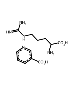 N=C(N)NCCCC(N)C(=O)O.O=C(O)c1cccnc1